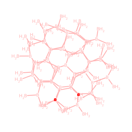 BB(B)B(B(B)B)B(B(B)B)B(B(B(B)B)B(B)B)B(B(B(B(B)B)B(B)B)B(B(B)B)B(B)B)B(B(B(B(B(B)B)B(B)B)B(B(B)B)B(B)B)B(B(B(B)B)B(B)B)B(B(B)B)B(B)B)B(B(B(B(B)B)B(B)B)B(B(B)B)B(B)B)B(B(B(B)B)B(B)B)B(B(B)B)B(B)B